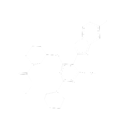 COc1nc(N2CCOCC2)nc(NC2CCCN(C(=O)OC(C)(C)C)C2)c1-c1nc2cc(C(F)(F)F)ccc2s1